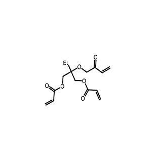 C=CC(=O)COC(CC)(COC(=O)C=C)COC(=O)C=C